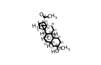 CC(=O)[C@H]1CC[C@@]23[C@H](C)[C@@]12CC[C@H]1[C@H]3CC[C@H]2C[C@](C)(O)CC[C@@]21C